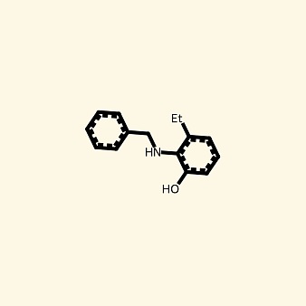 CCc1cccc(O)c1NCc1ccccc1